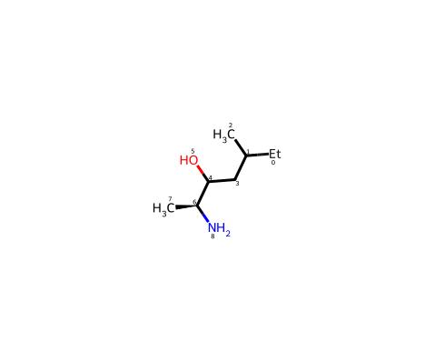 CCC(C)CC(O)[C@H](C)N